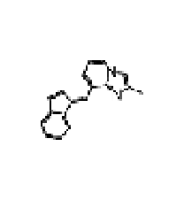 Cc1cn2cccc(/C=C3\C=Cc4ccccc43)c2n1